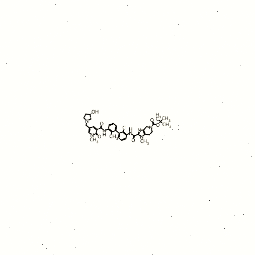 Cc1c(NC(=O)c2cc(CN3CC[C@@H](O)C3)cn(C)c2=O)cccc1-c1cccc(NC(=O)c2nc3c(n2C)CCN(C(=O)OC(C)(C)C)C3)c1Cl